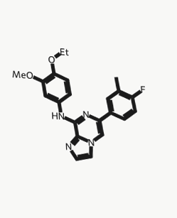 CCOc1ccc(Nc2nc(-c3ccc(F)c(C)c3)cn3ccnc23)cc1OC